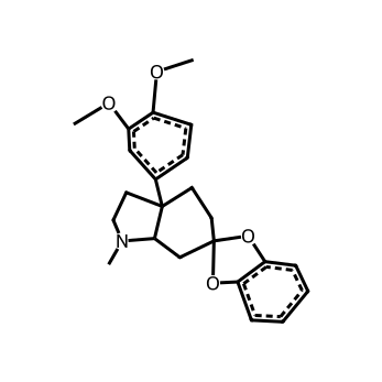 COc1ccc(C23CCN(C)C2CC2(CC3)Oc3ccccc3O2)cc1OC